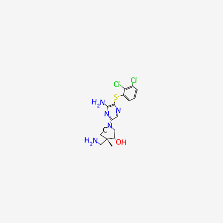 C[C@@]1(CN)CCN(c2cnc(Sc3cccc(Cl)c3Cl)c(N)n2)C[C@@H]1O